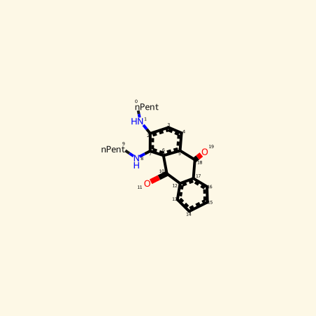 CCCCCNc1ccc2c(c1NCCCCC)C(=O)c1ccccc1C2=O